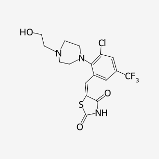 O=C1NC(=O)/C(=C\c2cc(C(F)(F)F)cc(Cl)c2N2CCN(CCO)CC2)S1